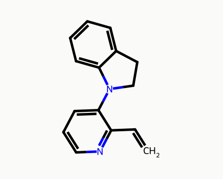 C=Cc1ncccc1N1CCc2ccccc21